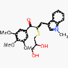 COc1cc(C(=O)/C(=C/c2cn(C)c3ccccc23)SCC(O)CO)cc(OC)c1OC